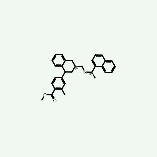 COC(=O)c1ccc(C2C[C@H](CN[C@H](C)c3cccc4ccccc34)Cc3ccccc32)cc1C